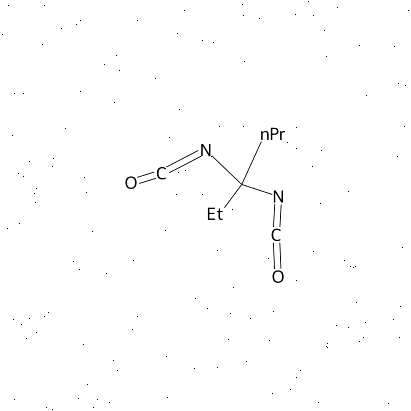 CCCC(CC)(N=C=O)N=C=O